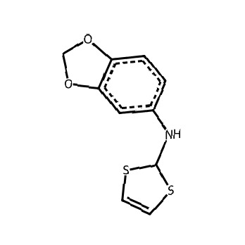 C1=CSC(Nc2ccc3c(c2)OCO3)S1